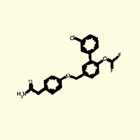 NC(=O)Cc1ccc(OCc2ccc(OC(F)F)c(-c3cccc(Cl)c3)c2)cc1